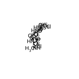 CNc1cc2[nH]c(=O)n(-c3ccc(NC(=O)NS(=O)(=O)C4=CCC(Cl)S4)cc3Cl)c(=O)c2cc1Cl